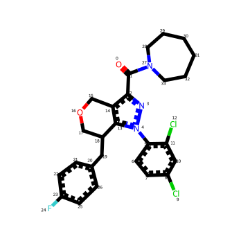 O=C(c1nn(-c2ccc(Cl)cc2Cl)c2c1COCC2Cc1ccc(F)cc1)N1CCCCCC1